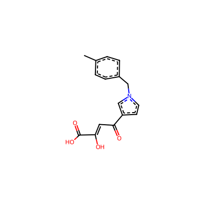 Cc1ccc(Cn2ccc(C(=O)/C=C(\O)C(=O)O)c2)cc1